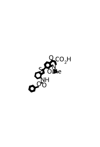 COc1c(-c2cc3c(s2)CCCC3NC(=O)OCc2ccccc2)ccc2c(=O)c(C(=O)O)cn(C3CC3)c12